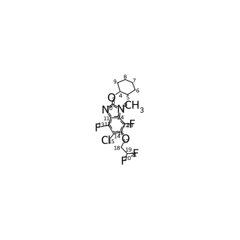 Cn1c(OC2CCCCC2)nc2c(F)c(Cl)c(OCC(F)F)c(F)c21